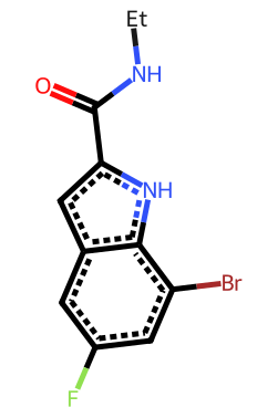 CCNC(=O)c1cc2cc(F)cc(Br)c2[nH]1